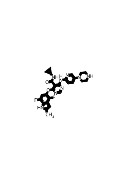 Cc1cc2c(F)c(Oc3ncnc(Nc4ccc(N5CCNCC5)cn4)c3C(=O)NC3CC3)cc(F)c2[nH]1